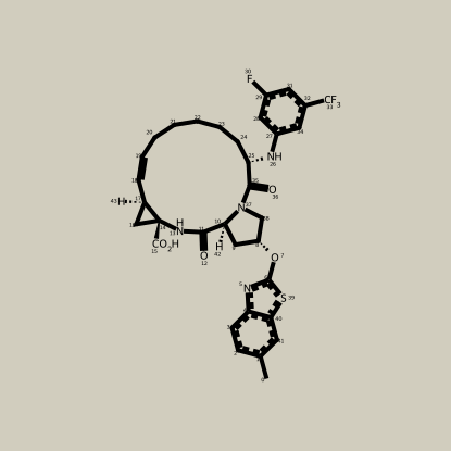 Cc1ccc2nc(O[C@@H]3C[C@H]4C(=O)N[C@]5(C(=O)O)C[C@H]5/C=C\CCCCC[C@H](Nc5cc(F)cc(C(F)(F)F)c5)C(=O)N4C3)sc2c1